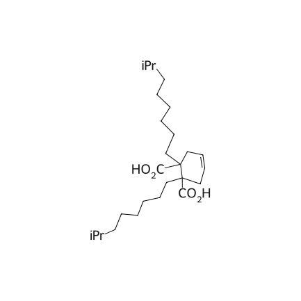 CC(C)CCCCCCC1(C(=O)O)CC=CCC1(CCCCCCC(C)C)C(=O)O